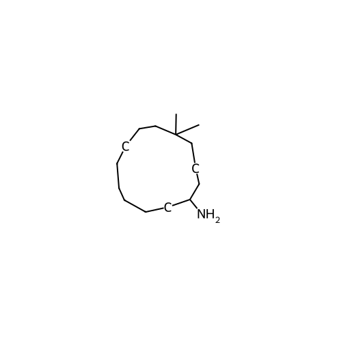 CC1(C)CCCCCCCCC(N)CCC1